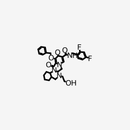 O=C(NCc1ccc(F)cc1F)c1cn2c(c(OCc3ccccc3)c1=O)C(=O)N1C3CCCCC3CN(CCO)C1C2